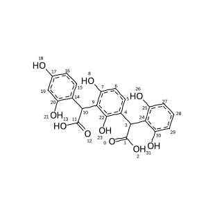 O=C(O)C(c1ccc(O)c(C(C(=O)O)c2ccc(O)cc2O)c1O)c1c(O)cccc1O